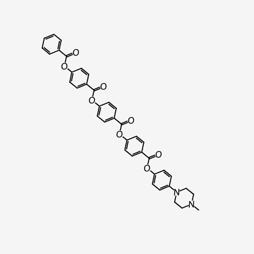 CN1CCN(c2ccc(OC(=O)c3ccc(OC(=O)c4ccc(OC(=O)c5ccc(OC(=O)c6ccccc6)cc5)cc4)cc3)cc2)CC1